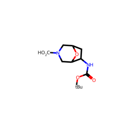 CC(C)(C)OC(=O)NC1CC2CN(C(=O)O)CC1O2